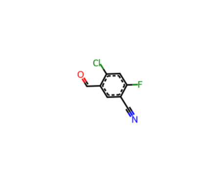 N#Cc1cc(C=O)c(Cl)cc1F